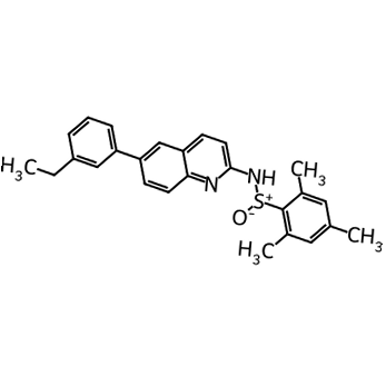 CCc1cccc(-c2ccc3nc(N[S+]([O-])c4c(C)cc(C)cc4C)ccc3c2)c1